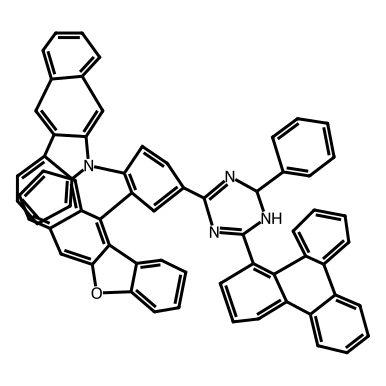 c1ccc(C2N=C(c3ccc(-n4c5ccccc5c5cc6ccccc6cc54)c(-c4c5ccccc5cc5oc6ccccc6c45)c3)N=C(c3cccc4c5ccccc5c5ccccc5c34)N2)cc1